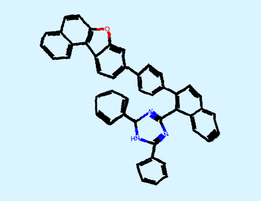 c1ccc(C2=NC(c3c(-c4ccc(-c5ccc6c(c5)oc5ccc7ccccc7c56)cc4)ccc4ccccc34)=NC(c3ccccc3)N2)cc1